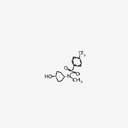 CN([C@H]1CC[C@H](O)CC1)S(=O)(=O)c1ccc(C(F)(F)F)cc1